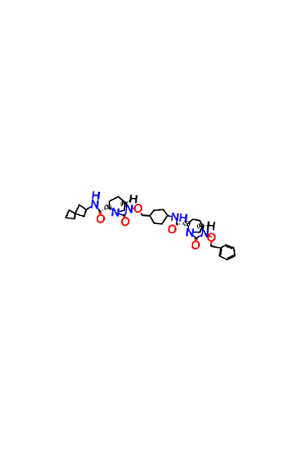 O=C(NC1CCC(CON2C(=O)N3C[C@H]2CC[C@H]3C(=O)NC2CC3(CCC3)C2)CC1)[C@@H]1CC[C@@H]2CN1C(=O)N2OCc1ccccc1